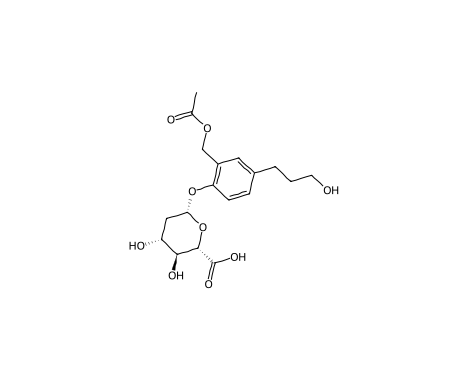 CC(=O)OCc1cc(CCCO)ccc1O[C@H]1C[C@@H](O)[C@H](O)[C@@H](C(=O)O)O1